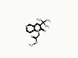 COC(=O)Cn1c(=O)c(C(C)(C)C)cc2cnccc21